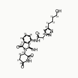 N=C1c2c(NC(=O)Cn3cc(CCCCO)nn3)cccc2C(=O)N1C1CCC(=O)NC1=O